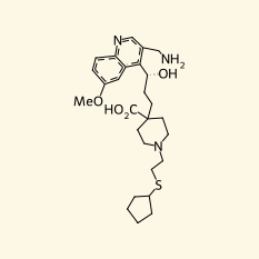 COc1ccc2ncc(CN)c([C@H](O)CCC3(C(=O)O)CCN(CCSC4CCCC4)CC3)c2c1